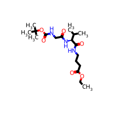 CCOC(=O)CCCNC(=O)[C@@H](NC(=O)CNC(=O)OC(C)(C)C)C(C)C